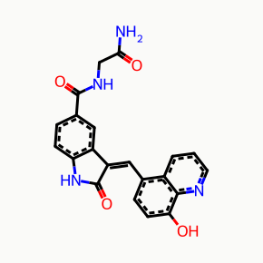 NC(=O)CNC(=O)c1ccc2c(c1)C(=Cc1ccc(O)c3ncccc13)C(=O)N2